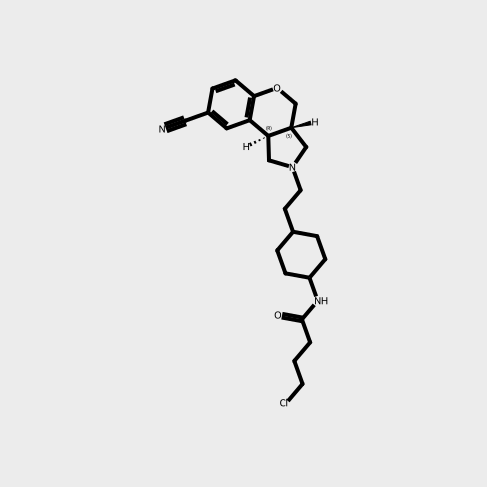 N#Cc1ccc2c(c1)[C@@H]1CN(CCC3CCC(NC(=O)CCCCl)CC3)C[C@H]1CO2